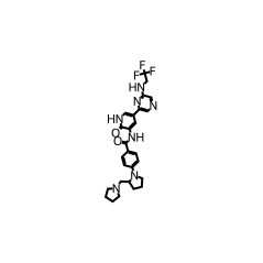 O=C(Nc1cc(-c2cncc(NCC(F)(F)F)n2)c[nH]c1=O)c1ccc(N2CCCC2CN2CCCC2)cc1